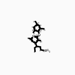 CCC(CCN)c1cc(C)nc(Oc2c(C)cc(C)cc2C)c1C